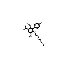 COCCOCCOc1c(OC)cc(C(C)C)c(C=O)c1-c1ccc(F)cc1